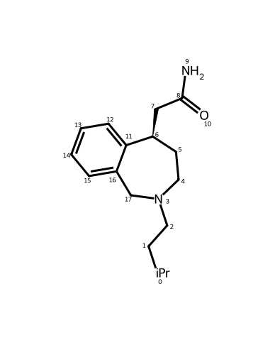 CC(C)CCN1CC[C@H](CC(N)=O)c2ccccc2C1